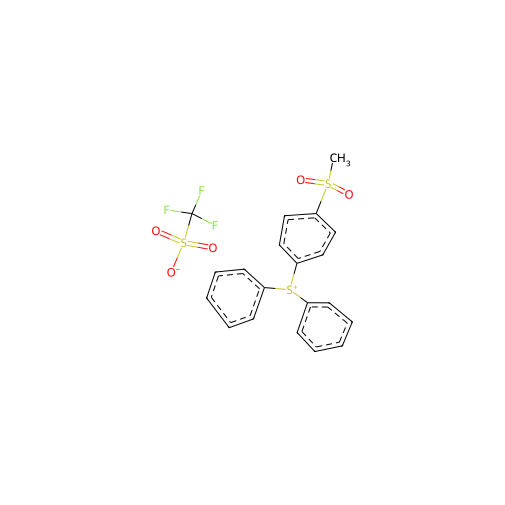 CS(=O)(=O)c1ccc([S+](c2ccccc2)c2ccccc2)cc1.O=S(=O)([O-])C(F)(F)F